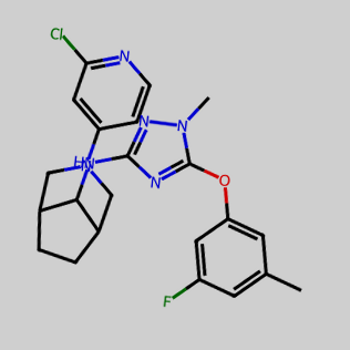 Cc1cc(F)cc(Oc2nc(NC3C4CCC3CN(c3ccnc(Cl)c3)C4)nn2C)c1